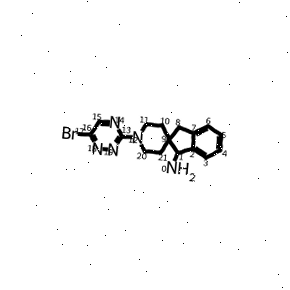 NC1c2ccccc2CC12CCN(c1ncc(Br)nn1)CC2